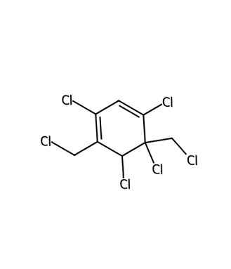 ClCC1=C(Cl)C=C(Cl)C(Cl)(CCl)C1Cl